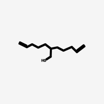 C=CCCCC(CO)CCCC=C